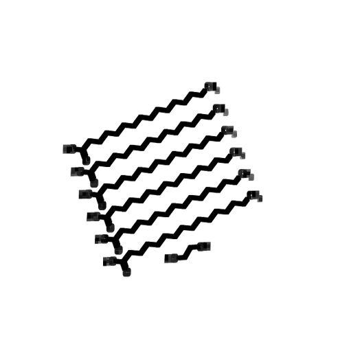 CCCCCCCCCCCCCCCC(=O)O.CCCCCCCCCCCCCCCC(=O)O.CCCCCCCCCCCCCCCC(=O)O.CCCCCCCCCCCCCCCC(=O)O.CCCCCCCCCCCCCCCC(=O)O.CCCCCCCCCCCCCCCC(=O)O.OCCO